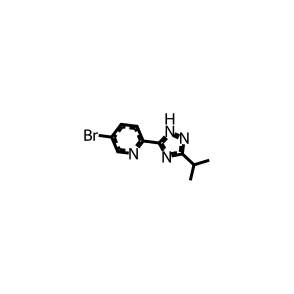 CC(C)c1n[nH]c(-c2ccc(Br)cn2)n1